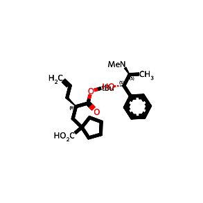 C=CC[C@H](CC1(C(=O)O)CCCC1)C(=O)OC(C)(C)C.CN[C@@H](C)[C@@H](O)c1ccccc1